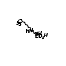 O=C(O)NCCNCCCCCC1CCSS1